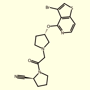 N#C[C@@H]1CCCN1C(=O)CN1CC[C@H](Oc2nccc3scc(Br)c23)C1